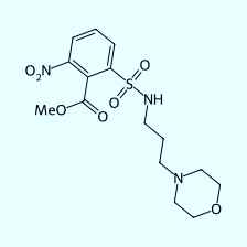 COC(=O)c1c([N+](=O)[O-])cccc1S(=O)(=O)NCCCN1CCOCC1